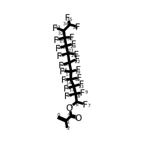 C=C(C)C(=O)OC(F)C(F)(F)C(F)(F)C(F)(F)C(F)(F)C(F)(F)C(F)(F)C(F)(F)C(F)(F)C(F)C(F)F